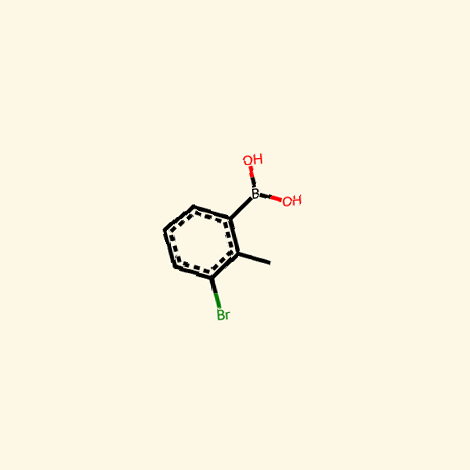 Cc1c(Br)cccc1B(O)O